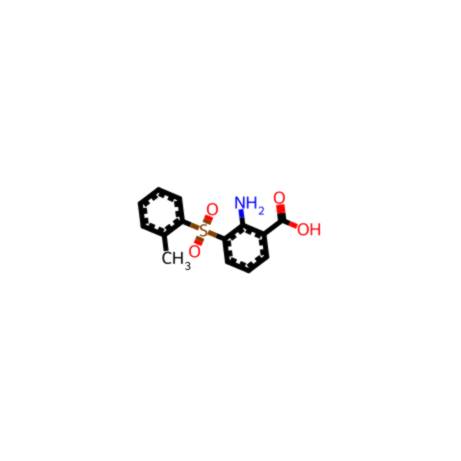 Cc1ccccc1S(=O)(=O)c1cccc(C(=O)O)c1N